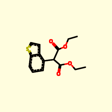 CCOC(=O)C(C(=O)OCC)c1cccc2sccc12